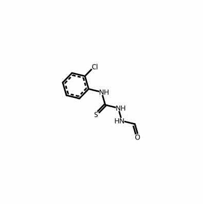 O=CNNC(=S)Nc1ccccc1Cl